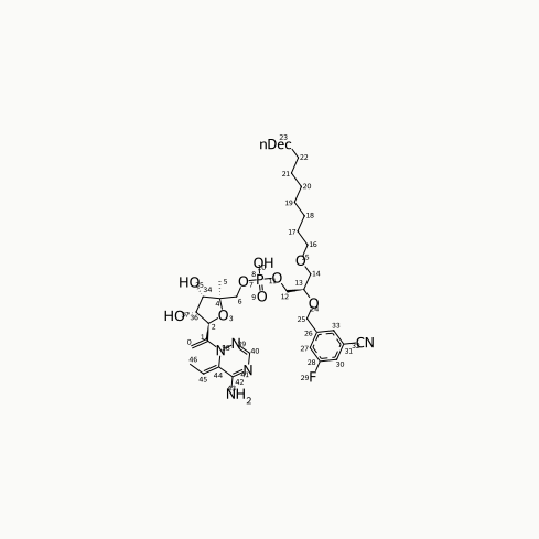 C=C([C@@H]1O[C@](C)(COP(=O)(O)OC[C@@H](COCCCCCCCCCCCCCCCCC)OCc2cc(F)cc(C#N)c2)[C@@H](O)[C@H]1O)N1N=CN=C(N)/C1=C/C